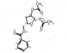 CC(=O)OC1C[C@@H](COC(=O)c2ccccc2)O[C@H]1OC(C)=O